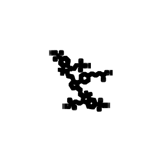 CC1(C)C(/C=C/C2=C(N3CCC(CCCC(=O)O)CC3)C(=C/C=C3/N(CCS(=O)(=O)O)c4ccc(S(=O)(=O)O)cc4C3(C)C)/CC2)=[N+](CCS(=O)(=O)O)c2ccc(S(=O)(=O)O)cc21